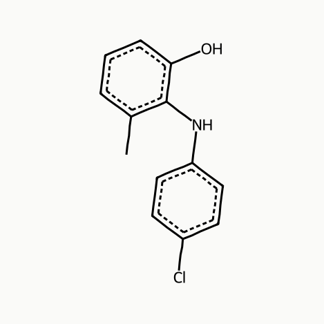 Cc1cccc(O)c1Nc1ccc(Cl)cc1